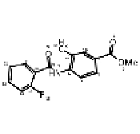 COC(=O)c1ccc(NC(=O)c2ccccc2F)c(C)c1